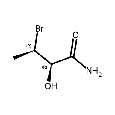 C[C@@H](Br)[C@H](O)C(N)=O